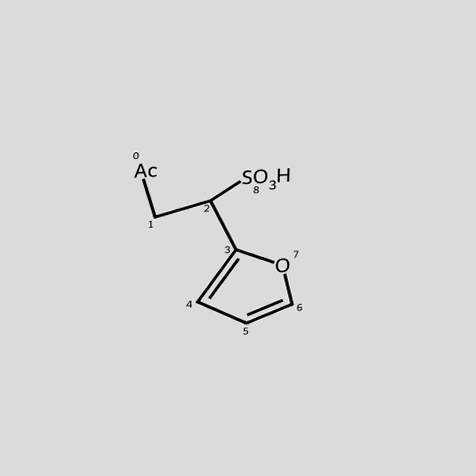 CC(=O)CC(c1ccco1)S(=O)(=O)O